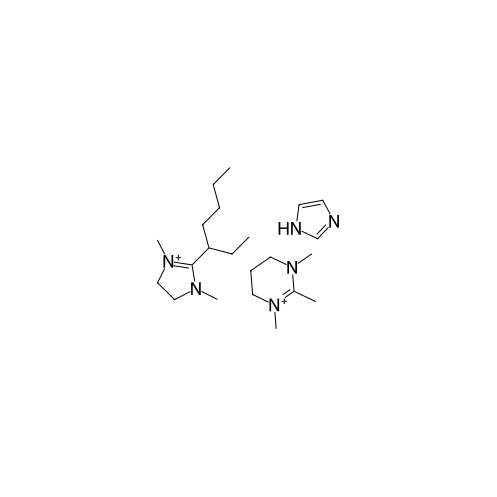 CC1=[N+](C)CCCN1C.CCCCC(CC)C1=[N+](C)CCN1C.c1c[nH]cn1